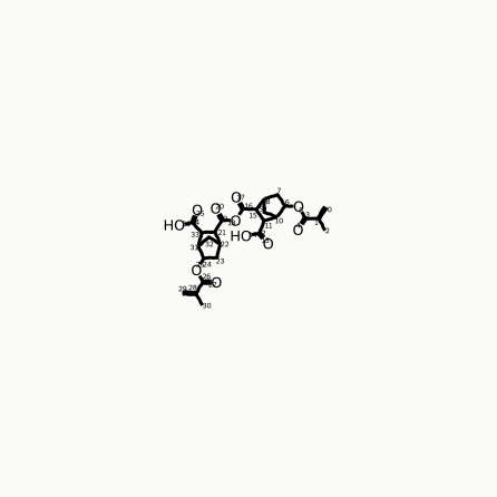 C=C(C)C(=O)OC1CC2CC1C(C(=O)O)C2C(=O)OC(=O)C1C2CC(OC(=O)C(=C)C)C(C2)C1C(=O)O